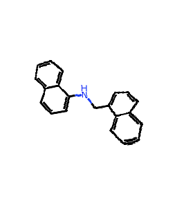 c1ccc2c(CNc3cccc4ccccc34)cccc2c1